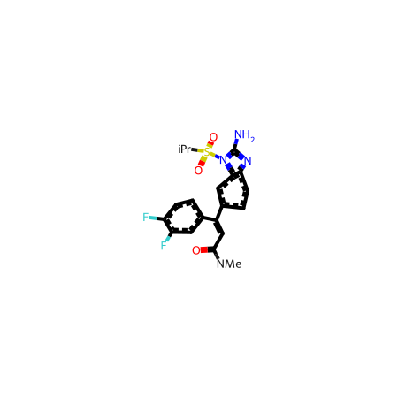 CNC(=O)/C=C(\c1ccc(F)c(F)c1)c1ccc2nc(N)n(S(=O)(=O)C(C)C)c2c1